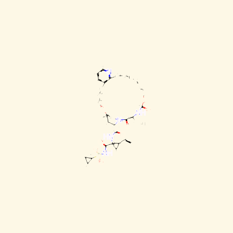 C=CC1C[C@]1(NC(=O)[C@@H]1C[C@@H]2CN1C(=O)[C@H](C(C)(C)C)NC(=O)OCCCCCCc1ncccc1CCCO2)C(=O)NS(=O)(=O)C1CC1